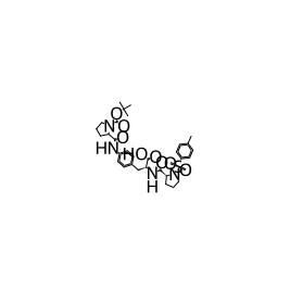 Cc1ccc(S(=O)(=O)N2CCC[C@H]2C(=O)N[C@@H](Cc2ccc(NC(=O)C3CCCN3C(=O)OC(C)(C)C)cc2)C(=O)O)cc1